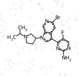 CC(C)N1CCC(n2cc(-c3nc(N)ncc3F)c3cc(Br)ncc32)C1